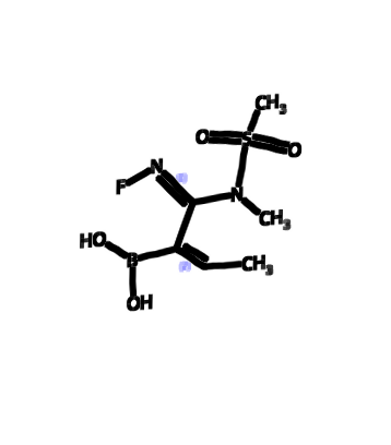 C/C=C(B(O)O)\C(=N/F)N(C)S(C)(=O)=O